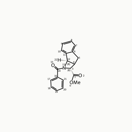 COC(=O)[C@H]1C2Cc3ccccc3[C@@H]2N1C(=O)c1ccccc1